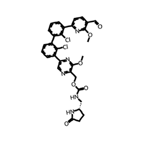 COc1nc(-c2cccc(-c3cccc(-c4cnc(COC(=O)NC[C@@H]5CCC(=O)N5)c(OC)n4)c3Cl)c2Cl)ccc1C=O